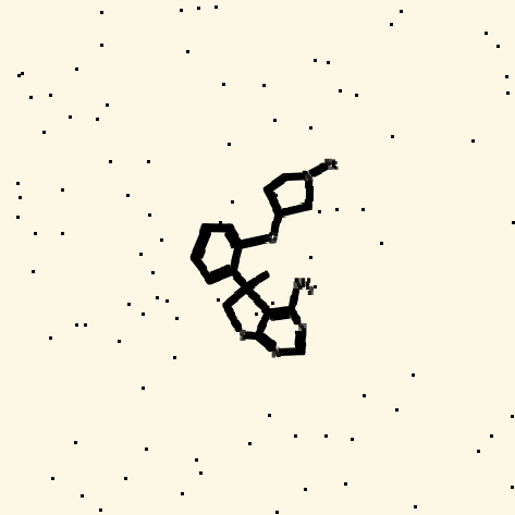 CCN1CCC(Oc2ccccc2C2(C)CSc3ncnc(N)c32)C1